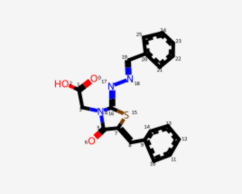 O=C(O)CN1C(=O)C(=Cc2ccccc2)SC1=NN=Cc1ccccc1